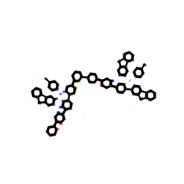 Cc1cc2c3c4c1c1cc5oc6ccccc6c5cc1n4-c1cc4c(cc1B3N(c1ccc(C(C)(C)C)cc1)c1cc3c(cc1-2)sc1c(-c2ccc5c(c2)oc2cc6c7c(C)cc8c9c7n(c6cc25)-c2cc5c(cc2B9N(c2ccc(C(C)(C)C)cc2)c2cc6c(cc2-8)C(C)(C)c2ccccc2-6)-c2ccccc2C5(C)C)cccc13)-c1ccccc1C4(C)C